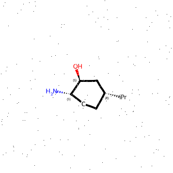 CC(C)[C@@H]1CC[C@H](N)[C@@H](O)C1